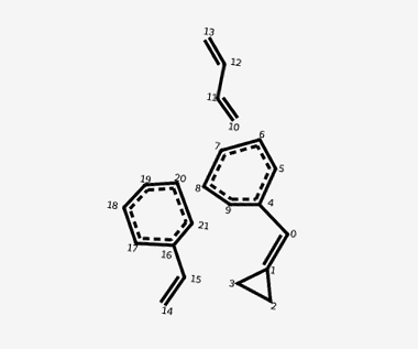 C(=C1CC1)c1ccccc1.C=CC=C.C=Cc1ccccc1